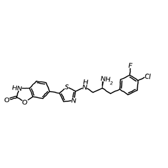 N[C@H](CNc1ncc(-c2ccc3[nH]c(=O)oc3c2)s1)Cc1ccc(Cl)c(F)c1